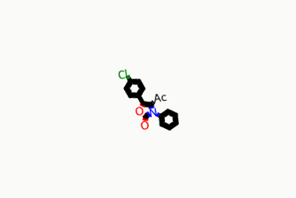 CC(=O)c1c(-c2ccc(Cl)cc2)oc(=O)n1-c1ccccc1